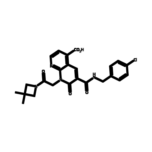 CC1(C)CN(C(=O)Cn2c(=O)c(C(=O)NCc3ccc(Cl)cc3)cc3c(C(=O)O)ccnc32)C1